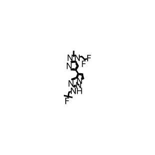 Cc1nc2ncc(-c3ccn4nc(NCC(C)(C)F)ncc34)cc2n1CC(F)F